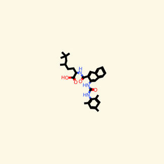 Cc1cc(C)c(NC(=O)Nc2cc3ccccc3cc2C(=O)NC(CCC(C)CC(C)(C)C)C(=O)O)c(C)c1